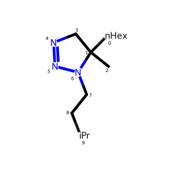 CCCCCCC1(C)CN=NN1CCC(C)C